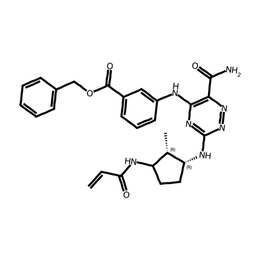 C=CC(=O)NC1CC[C@@H](Nc2nnc(C(N)=O)c(Nc3cccc(C(=O)OCc4ccccc4)c3)n2)[C@H]1C